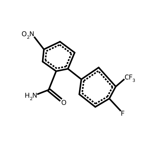 NC(=O)c1cc([N+](=O)[O-])ccc1-c1ccc(F)c(C(F)(F)F)c1